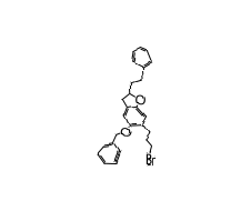 BrCCCc1cc2c(cc1OCc1ccccc1)CC(CCc1ccccc1)O2